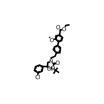 CCOC(=O)c1ccc(-c2ccc(CCN(C[C@H](O)c3cccc(Cl)c3)C(=O)OC(C)(C)C)cc2)c(OC)c1